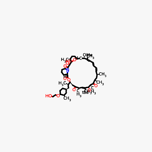 CO[C@H]1C[C@@H]2CC[C@@H](C)[C@@](O)(O2)C(=O)C(=O)N2CCCC[C@H]2C(=O)O[C@H]([C@H](C)C[C@@H]2CC[C@@H](OCCO)[C@H](C)C2)CC(=O)[C@H](C)/C=C(\C)[C@@H](OC(C)(C)C)[C@@H](C)C(=O)[C@H](C)C[C@H](C)/C=C/C=C/C=C/1C